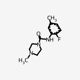 Cc1ccc(F)c(NC(=O)N2CCN(C)CC2)c1